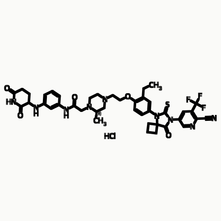 CCc1cc(N2C(=S)N(c3cnc(C#N)c(C(F)(F)F)c3)C(=O)C23CCC3)ccc1OCCN1CCN(CC(=O)Nc2cccc(NC3CCC(=O)NC3=O)c2)[C@H](C)C1.Cl